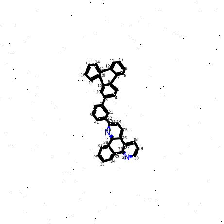 c1cc(-c2ccc3c4ccccc4c4ccccc4c3c2)cc(-c2ccc3c4cccnc4c4ccccc4c3n2)c1